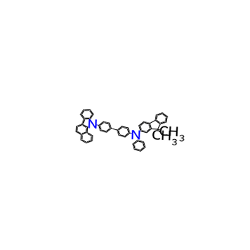 CC1(C)c2ccccc2-c2ccc(N(c3ccccc3)c3ccc(-c4ccc(-n5c6ccccc6c6ccc7ccccc7c65)cc4)cc3)cc21